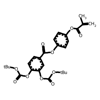 C=C(C)C(=O)Oc1ccc(OC(=O)c2ccc(OC(=O)OC(C)(C)C)c(OC(=O)OC(C)(C)C)c2)cc1